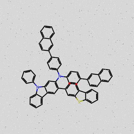 c1ccc(-n2c3ccccc3c3cc(-c4ccc5c(c4)sc4ccccc45)c(N(c4ccc(-c5ccc6ccccc6c5)cc4)c4ccc(-c5ccc6ccccc6c5)cc4)cc32)cc1